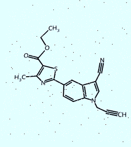 C#CCn1cc(C#N)c2cc(-c3nc(C)c(C(=O)OCC)s3)ccc21